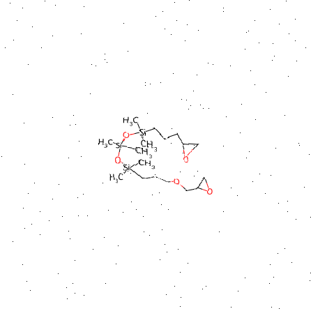 C[Si](C)(CCCOCC1CO1)O[Si](C)(C)O[Si](C)(C)CCCC1CO1